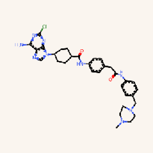 CN1CCN(Cc2ccc(NC(=O)Cc3ccc(NC(=O)C4CCC(n5cnc6c(N)nc(Cl)nc65)CC4)cc3)cc2)CC1